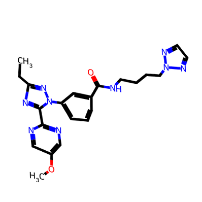 CCc1nc(-c2ncc(OC)cn2)n(-c2cccc(C(=O)NCCCCn3nccn3)c2)n1